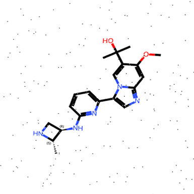 COc1cc2ncc(-c3cccc(N[C@@H]4CN[C@H]4C)n3)n2cc1C(C)(C)O